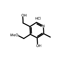 COCc1c(CO)cnc(C)c1O.Cl